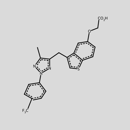 Cc1nn(-c2ccc(C(F)(F)F)cc2)nc1Cc1csc2ccc(OCC(=O)O)cc12